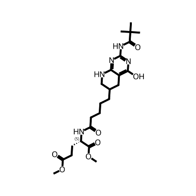 COC(=O)CC[C@H](NC(=O)CCCCC1CNc2nc(NC(=O)C(C)(C)C)nc(O)c2C1)C(=O)OC